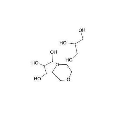 C1COCCO1.OCC(O)CO.OCC(O)CO